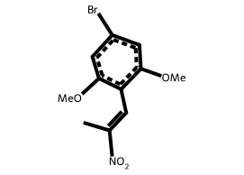 COc1cc(Br)cc(OC)c1C=C(C)[N+](=O)[O-]